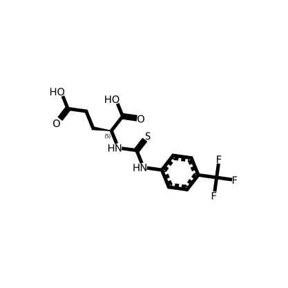 O=C(O)CC[C@H](NC(=S)Nc1ccc(C(F)(F)F)cc1)C(=O)O